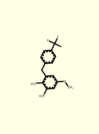 COc1cc(N)c(C)c(Cc2ccc(C(F)(F)F)cc2)c1